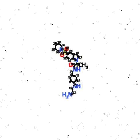 CC(C(=O)NCc1ccc(NCCN)cc1)n1ccc2cc(S(=O)(=O)N3CCCCC3)ccc21